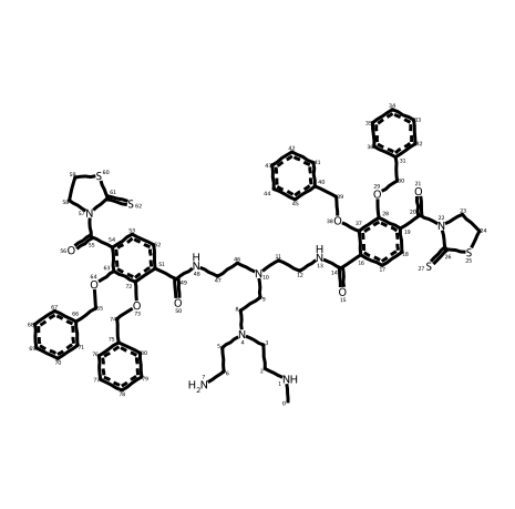 CNCCN(CCN)CCN(CCNC(=O)c1ccc(C(=O)N2CCSC2=S)c(OCc2ccccc2)c1OCc1ccccc1)CCNC(=O)c1ccc(C(=O)N2CCSC2=S)c(OCc2ccccc2)c1OCc1ccccc1